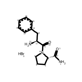 Br.NC(=O)[C@@H]1CCCN1C(=O)[C@@H](N)Cc1ccccc1